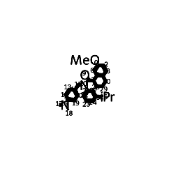 COc1ccc2c(c1)C(C(=O)N(Cc1ccc(N(C)C)cc1)c1cccc(C(C)C)c1)CCC2